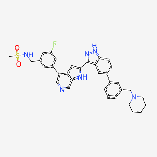 CS(=O)(=O)NCc1cc(F)cc(-c2cncc3[nH]c(-c4n[nH]c5ccc(-c6cc#cc(CN7CCCCC7)c6)cc45)cc23)c1